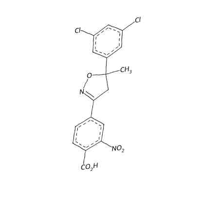 CC1(c2cc(Cl)cc(Cl)c2)CC(c2ccc(C(=O)O)c([N+](=O)[O-])c2)=NO1